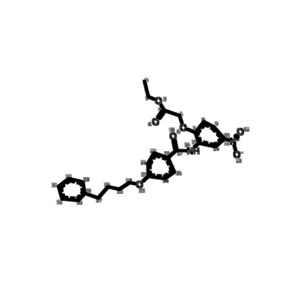 CCOC(=O)COc1ccc([N+](=O)[O-])cc1NC(=O)c1ccc(OCCCCc2ccccc2)cc1